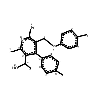 Cc1ccc(SCc2c(C(C)C)nc(C(C)C)c(C(C)O)c2-c2ccc(C)cc2)cc1